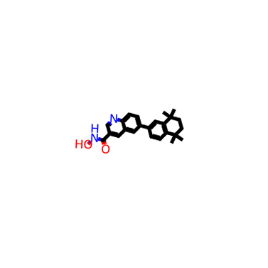 CC1(C)CCC(C)(C)c2cc(-c3ccc4ncc(C(=O)NO)cc4c3)ccc21